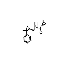 CC1(c2ccccc2)CC1CNC(=O)C1CC1